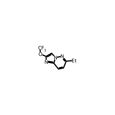 CCc1ccc2nc(OC(F)(F)F)cn2n1